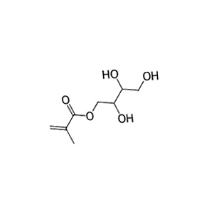 C=C(C)C(=O)OCC(O)C(O)CO